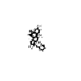 C[C@]12CCC3C(C1CC[C@]2(C)OCC1OCCCO1)[C@H]1C[C@H]1C1(O)CC(O)CC[C@]31C